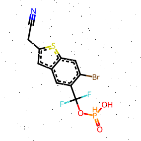 N#CCc1cc2cc(C(F)(F)O[PH](=O)O)c(Br)cc2s1